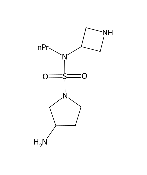 CCCN(C1CNC1)S(=O)(=O)N1CCC(N)C1